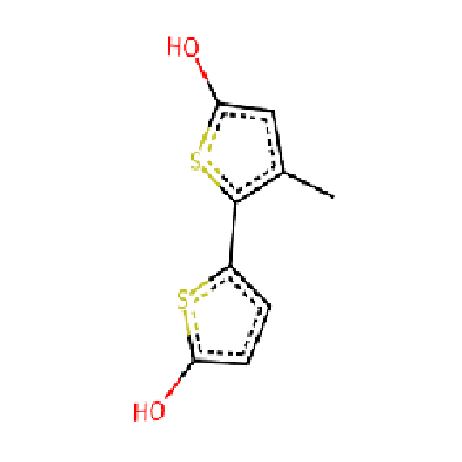 Cc1cc(O)sc1-c1ccc(O)s1